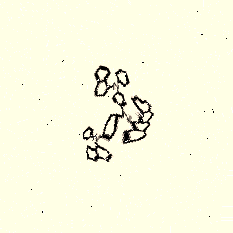 c1ccc(N(c2ccc(N(c3ccc(N(c4ccccc4)c4cccc5ccccc45)cc3)c3c4ccccc4cc4cc5ccccc5cc34)cc2)c2cccc3ccccc23)cc1